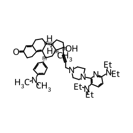 CCN(CC)c1ccc(N(CC)CC)c(N2CCN(CC#C[C@]3(O)CC[C@H]4[C@@H]5CCC6=CC(=O)CCC6=C5[C@@H](c5ccc(N(C)C)cc5)C[C@@]43C)CC2)n1